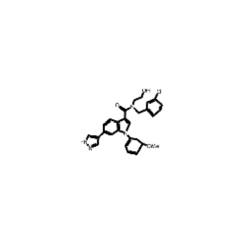 COC1C=CC=C(n2cc(C(=O)N(CCO)Cc3cccc(Cl)c3)c3ccc(-c4cn[nH]c4)cc32)C1